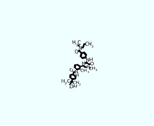 CCCN(CC)C(=O)c1ccc(Nc2nc(-c3cccc(NC(=O)c4ccc(C(C)(C)CO)cc4)c3C)cn(C)c2=O)cc1